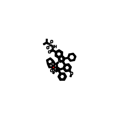 COc1ccc2c(c1)C1CC1(C(=O)N1C3CCC1CC(N(C)Cc1ccccc1)C3)Cn1c-2c(C2CCCCC2)c2ccc(C(=O)NS(=O)(=O)C(C)C)cc21